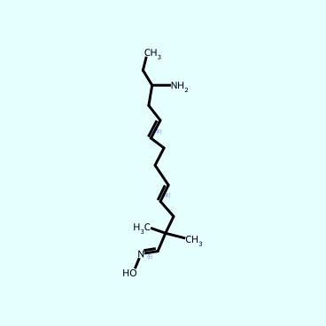 CCC(N)C/C=C/CC/C=C/CC(C)(C)/C=N/O